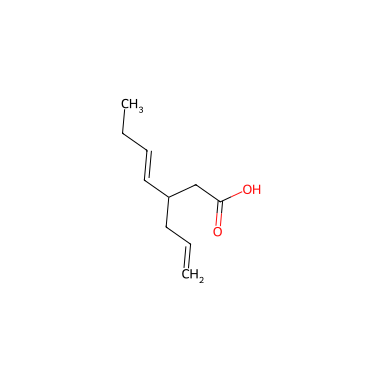 C=CCC(/C=C/CC)CC(=O)O